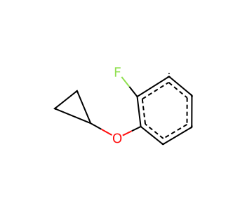 Fc1[c]cccc1OC1CC1